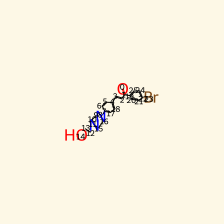 O=C(/C=C/c1ccc(N2CCN(CCO)CC2)cc1)c1ccc(Br)cc1